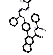 C=C(N)/C=C\C=C/N(Cc1ccc(-c2cc3ccccc3cc2C(=N)/N=C(\N)c2ccccc2)cc1)c1ccccc1